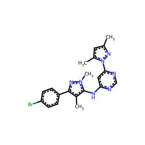 Cc1cc(C)n(-c2cc(Nc3c(C)c(-c4ccc(Br)cc4)nn3C)ncn2)n1